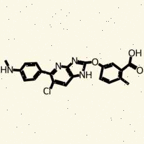 CNc1ccc(-c2nc3nc(Oc4ccc(C)c(C(=O)O)c4)[nH]c3cc2Cl)cc1